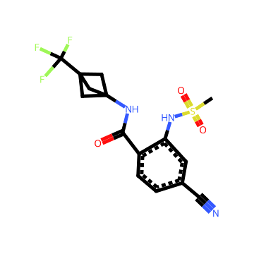 CS(=O)(=O)Nc1cc(C#N)ccc1C(=O)NC12CC(C(F)(F)F)(C1)C2